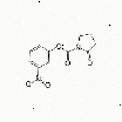 O=C1CCCN1C(=O)Oc1cccc([N+](=O)[O-])c1